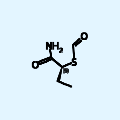 CC[C@H](SC=O)C(N)=O